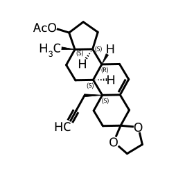 C#CC[C@]12CCC3(CC1=CC[C@@H]1[C@@H]2CC[C@]2(C)C(OC(C)=O)CC[C@@H]12)OCCO3